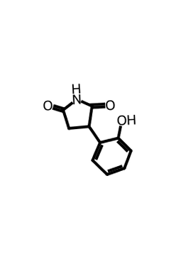 O=C1CC(c2ccccc2O)C(=O)N1